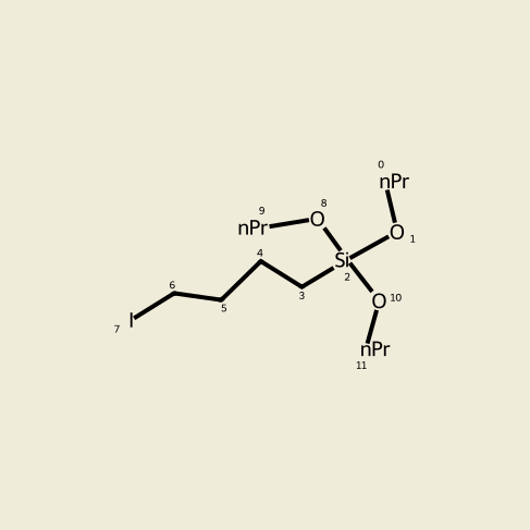 CCCO[Si](CCCCI)(OCCC)OCCC